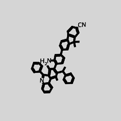 Cc1c(-c2ccc(-c3ccc4c(c3)C(C)(C)c3cc(C#N)ccc3-4)cc2N)c(C(C)c2ccccc2)c(C)c2c1c(-c1ccccc1)nc1ccccc12